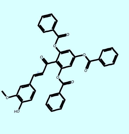 COc1cc(/C=C/C(=O)c2c(OC(=O)c3ccccc3)cc(OC(=O)c3ccccc3)cc2OC(=O)c2ccccc2)ccc1O